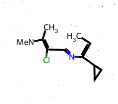 C/C=C(\N=CC(Cl)=C(C)NC)C1CC1